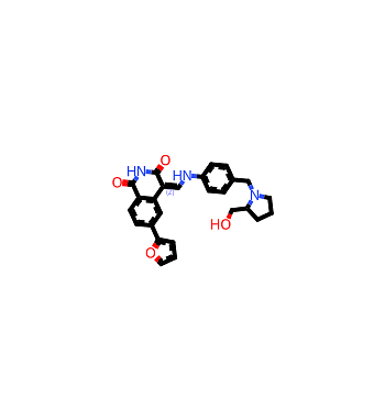 O=C1NC(=O)c2ccc(-c3ccco3)cc2/C1=C/Nc1ccc(CN2CCCC2CO)cc1